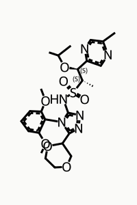 COc1cccc(OC)c1-n1c(NS(=O)(=O)[C@@H](C)[C@@H](OC(C)C)c2cnc(C)cn2)nnc1C1COCCO1